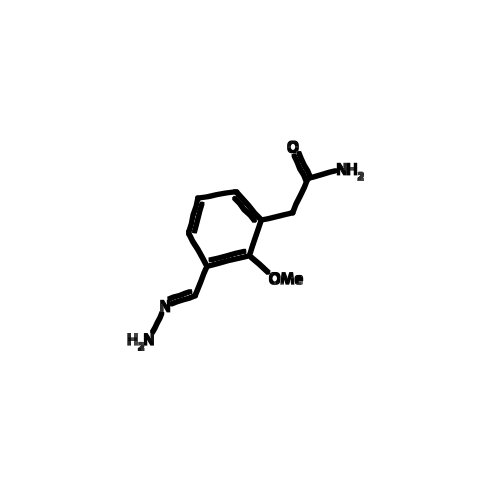 COc1c(C=NN)cccc1CC(N)=O